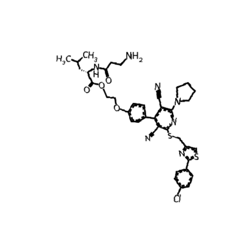 CC(C)C[C@H](NC(=O)CCN)C(=O)OCCOc1ccc(-c2c(C#N)c(SCc3csc(-c4ccc(Cl)cc4)n3)nc(N3CCCC3)c2C#N)cc1